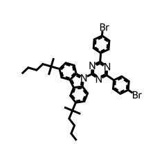 CCCCC(C)(C)c1ccc2c(c1)c1cc(C(C)(C)CCCC)ccc1n2-c1nc(-c2ccc(Br)cc2)nc(-c2ccc(Br)cc2)n1